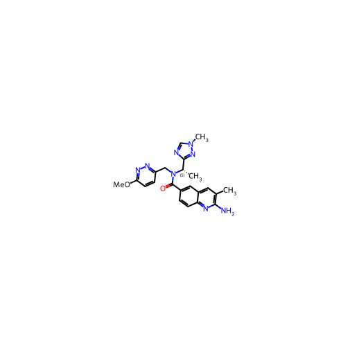 COc1ccc(CN(C(=O)c2ccc3nc(N)c(C)cc3c2)[C@@H](C)c2ncn(C)n2)nn1